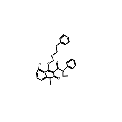 CCN(C(=O)c1c(OCOCCc2ccccc2)c2c(Cl)cccc2n(C)c1=O)c1ccccc1